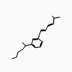 CCCCCCCCC(C=CC=Cc1cccc(C(CCCC=O)OC(C)=O)c1)OC(C)=O